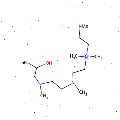 CCCC(O)CN(C)CCN(C)CC[N+](C)(C)CCNC